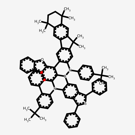 CC(C)(C)c1ccc(N2B3c4cc5c(-c6ccccc6)sc(-c6ccccc6)c5cc4N(c4ccc(C(C)(C)C)cc4-c4ccccc4)c4cc5c(oc6ccccc65)c(c43)-c3cc4c(cc32)C(C)(C)c2cc3c(cc2-4)C(C)(C)CCC3(C)C)cc1